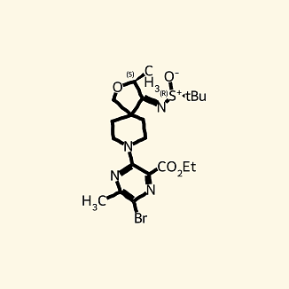 CCOC(=O)c1nc(Br)c(C)nc1N1CCC2(CC1)CO[C@@H](C)C2=N[S@@+]([O-])C(C)(C)C